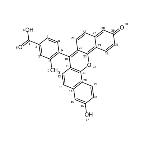 Cc1cc(C(=O)O)ccc1-c1c2ccc3cc(O)ccc3c2oc2c1ccc1cc(=O)ccc12